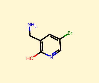 NCc1cc(Br)cnc1O